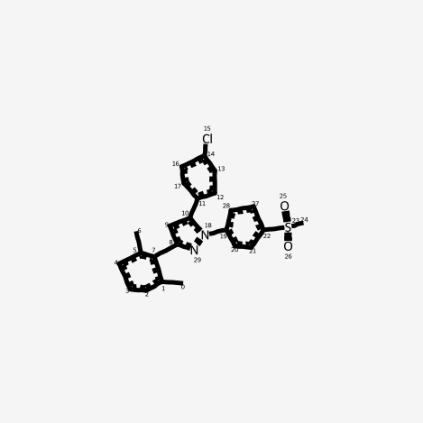 Cc1cccc(C)c1-c1cc(-c2ccc(Cl)cc2)n(-c2ccc(S(C)(=O)=O)cc2)n1